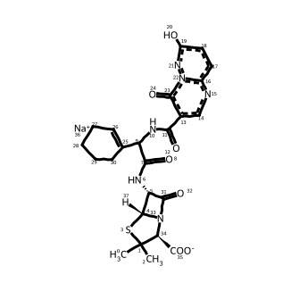 CC1(C)S[C@@H]2[C@H](NC(=O)C(NC(=O)c3cnc4ccc(O)nn4c3=O)C3=CCCCC3)C(=O)N2[C@H]1C(=O)[O-].[Na+]